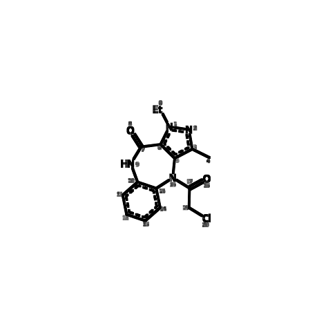 CCn1nc(C)c2c1C(=O)Nc1ccccc1N2C(=O)CCl